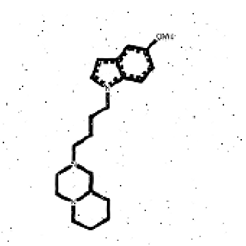 COc1ccc2c(ccn2CCCCN2CCN3CCCCC3C2)c1